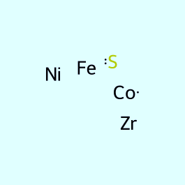 [Co].[Fe].[Ni].[S].[Zr]